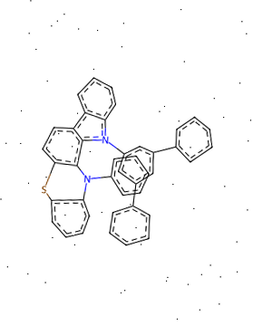 c1ccc(-c2cc(-c3ccccc3)cc(-n3c4ccccc4c4ccc5c(c43)N(c3ccccc3)c3ccccc3S5)c2)cc1